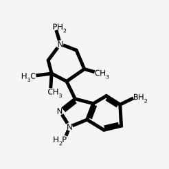 Bc1ccc2c(c1)c(C1C(C)CN(P)CC1(C)C)nn2P